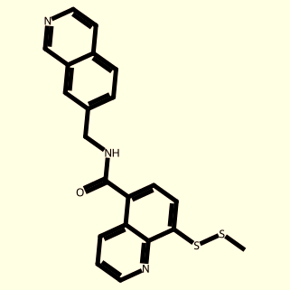 CSSc1ccc(C(=O)NCc2ccc3ccncc3c2)c2cccnc12